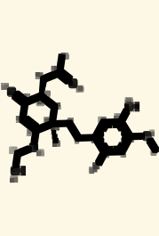 COc1cc(F)c(CC[C@]2(C)C[C@H](CC(C)=O)C(=O)C=C2OCO)cc1O